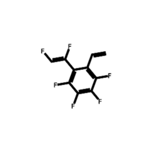 C=Cc1c(F)c(F)c(F)c(F)c1C(F)=CF